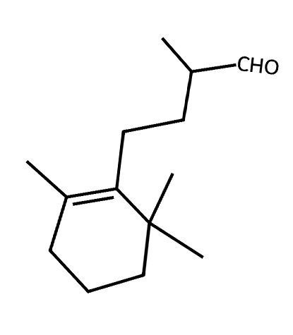 CC1=C(CCC(C)C=O)C(C)(C)CCC1